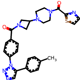 Cc1ccc(-c2cnnn2-c2ccc(C(=O)N3CC(N4CCN(C(=O)c5nccs5)CC4)C3)cc2)cc1